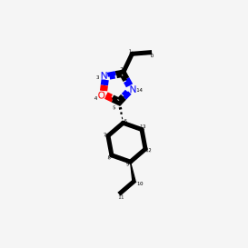 CCc1noc([C@H]2CC[C@H](CC)CC2)n1